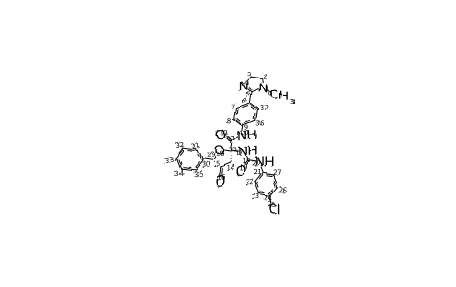 CN1CCN=C1c1ccc(NC(=O)[C@@](CC=O)(NC(=O)Nc2ccc(Cl)cc2)OCc2ccccc2)cc1